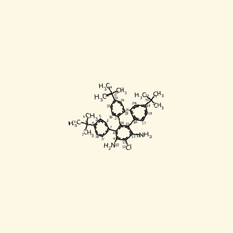 CC(C)(C)c1ccc(-c2c(N)c(Cl)c(N)c(-c3ccc(C(C)(C)C)cc3)c2-c2ccc(C(C)(C)C)cc2)cc1